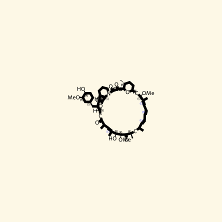 CO[C@H]1C[C@@H]2CC[C@@H](C)[C@@](OC)(O2)C(=O)C(=O)N2CCC[C@@H]3C(C[C@@H]4CC[C@@H](O)[C@H](OC)C4)[C@H](CC(=O)C(C)/C=C(\C)[C@@H](O)[C@@H](OC)C(=O)[C@H](C)CC(C)/C=C/C=C/C=C/1C)OC(=O)[C@H]32